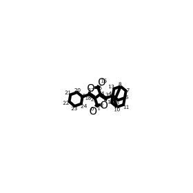 O=C1OC(C23CC4CC(CC(C4)C2)C3)=C2C(=O)OC(C3CCCCC3)=C12